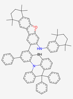 CC1(C)CCC(C)(C)c2cc(Nc3cc4oc5cc6c(cc5c4cc3-c3cc(-c4ccccc4)cc4c3Bc3cccc5c3N4c3ccccc3C5(c3ccccc3)c3ccccc3)C(C)(C)CCC6(C)C)ccc21